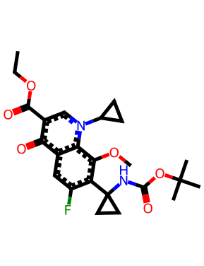 CCOC(=O)c1cn(C2CC2)c2c(OC)c(C3(NC(=O)OC(C)(C)C)CC3)c(F)cc2c1=O